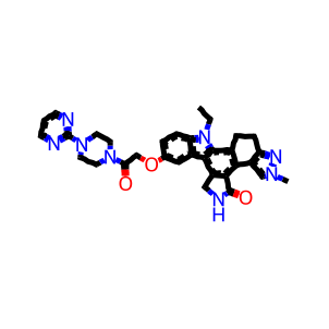 CCn1c2ccc(OCC(=O)N3CCN(c4ncccn4)CC3)cc2c2c3c(c4c(c21)CCc1nn(C)cc1-4)C(=O)NC3